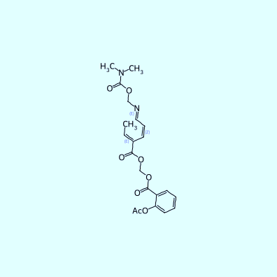 C\C=C(/C=C\C=N\COC(=O)N(C)C)C(=O)OCOC(=O)c1ccccc1OC(C)=O